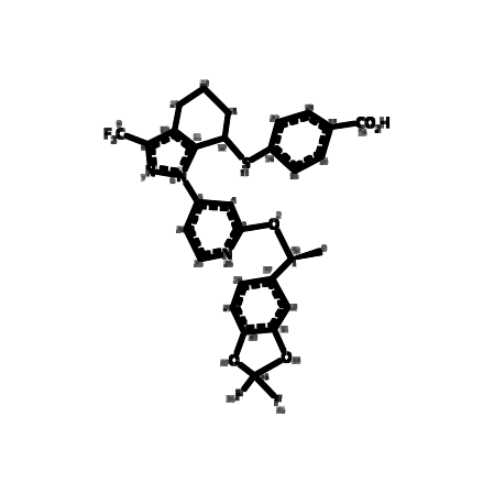 C[C@H](Oc1cc(-n2nc(C(F)(F)F)c3c2C(Sc2ccc(C(=O)O)cc2)CCC3)ccn1)c1ccc2c(c1)OC(F)(F)O2